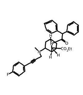 CCOC(=O)[C@@H]1[C@@H]2CC[C@@H](CC2N(C)CC#Cc2ccc(F)cc2)N1C(=O)C(c1ccccc1)c1ccccc1